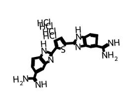 Cl.Cl.Cl.Cl.N=C(N)c1ccc2[nH]c(-c3ccc(-c4nc5cc(C(=N)N)ccc5[nH]4)s3)nc2c1